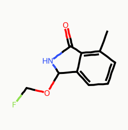 Cc1cccc2c1C(=O)NC2OCF